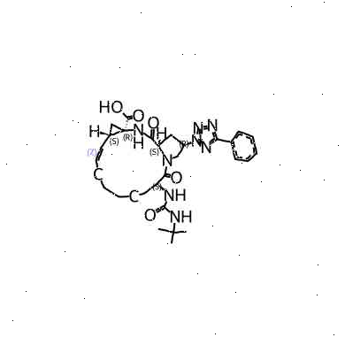 CC(C)(C)NC(=O)N[C@H]1CCCCC/C=C\[C@@H]2C[C@@]2(C(=O)O)NC(=O)[C@@H]2C[C@@H](n3nnc(-c4ccccc4)n3)CN2C1=O